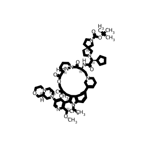 CCn1c(-c2cc(N3CCN4CCOC[C@@H]4C3)cnc2[C@H](C)OC)c2c3cc(ccc31)C1=CCCN(C1)C[C@H](NC(=O)[C@H](C1CCCC1)N1CC[C@]3(CCN(C(=O)OC(C)(C)C)C3)C1)C(=O)N1CCC[C@H](N1)C(=O)OCC(C)(C)C2